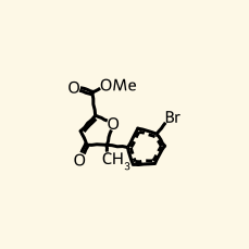 COC(=O)C1=CC(=O)C(C)(c2cccc(Br)c2)O1